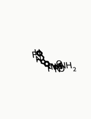 CNC1Cc2cc(F)c(C[N+]3(C)C=NC(S(N)(=O)=O)=C3)cc2C1Cc1cccc(F)c1